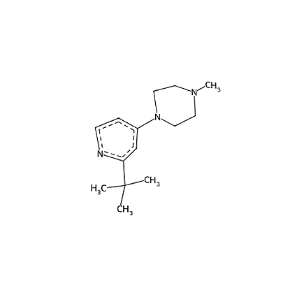 CN1CCN(c2ccnc(C(C)(C)C)c2)CC1